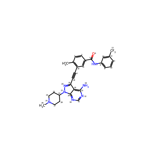 Cc1ccc(C(=O)Nc2cccc(C(F)(F)F)c2)cc1C#Cc1nn(C2CCN(C)CC2)c2ncnc(N)c12